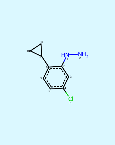 NNc1cc(Cl)ccc1C1CC1